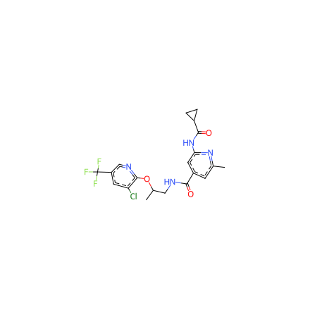 Cc1cc(C(=O)NCC(C)Oc2ncc(C(F)(F)F)cc2Cl)cc(NC(=O)C2CC2)n1